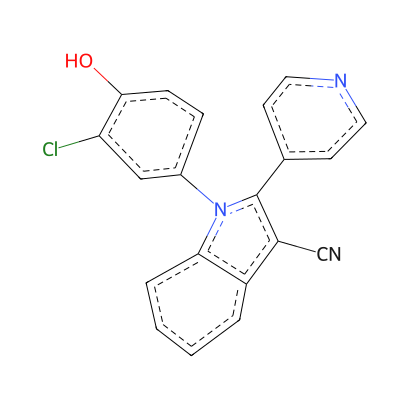 N#Cc1c(-c2ccncc2)n(-c2ccc(O)c(Cl)c2)c2ccccc12